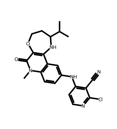 CC(C)C1CCOc2c(c3cc(Nc4ccnc(Cl)c4C#N)ccc3n(C)c2=O)N1